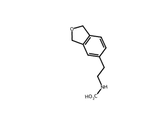 O=C(O)NCCc1ccc2c(c1)COC2